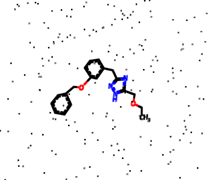 CCOCc1nc(Cc2cccc(OCc3ccccc3)c2)n[nH]1